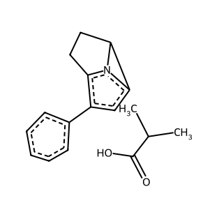 CC(C)C(=O)O.c1ccc(-c2cc3n4c2CCC34)cc1